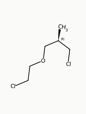 C[C@@H](CCl)COCCCl